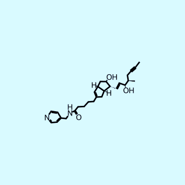 CC#CC[C@@H](C)[C@H](O)/C=C/[C@@H]1[C@H]2CC(CCCCC(=O)NCc3ccncc3)=C[C@H]2C[C@H]1O